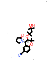 CC(C)(O)CC(C)(C)O[C@@H]1[C@@H](N2CCCC2=O)c2cc(C#N)ccc2OC1(C)C